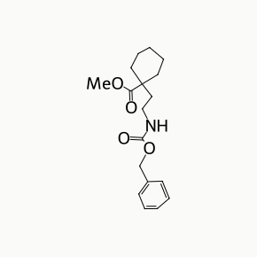 COC(=O)C1(CCNC(=O)OCc2ccccc2)CCCCC1